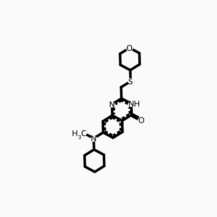 CN(c1ccc2c(=O)[nH]c(CSC3CCOCC3)nc2c1)C1CCCCC1